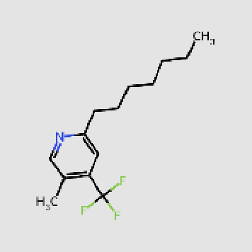 CCCCCCCc1cc(C(F)(F)F)c(C)cn1